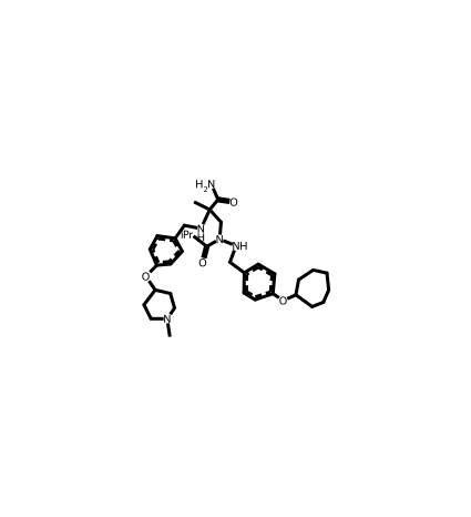 CC(C)C(=O)N(CC(C)(NCc1ccc(OC2CCN(C)CC2)cc1)C(N)=O)NCc1ccc(OC2CCCCCC2)cc1